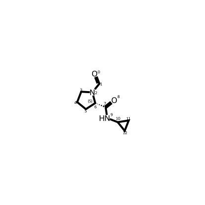 O=CN1CCC[C@H]1C(=O)NC1CC1